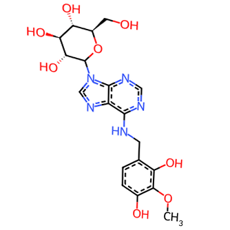 COc1c(O)ccc(CNc2ncnc3c2ncn3C2O[C@H](CO)[C@@H](O)[C@H](O)[C@H]2O)c1O